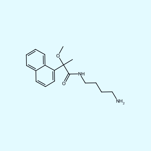 COC(C)(C(=O)NCCCCN)c1cccc2ccccc12